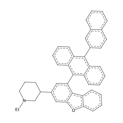 CCN1CCCC(c2cc(-c3c4ccccc4c(-c4ccc5ccccc5c4)c4ccccc34)c3c(c2)oc2ccccc23)C1